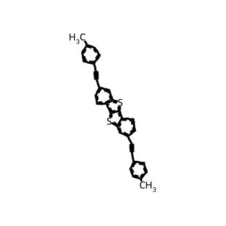 Cc1ccc(C#Cc2ccc3c(c2)sc2c4ccc(C#Cc5ccc(C)cc5)cc4sc32)cc1